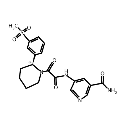 CS(=O)(=O)c1cccc([C@@H]2CCCCN2C(=O)C(=O)Nc2cncc(C(N)=O)c2)c1